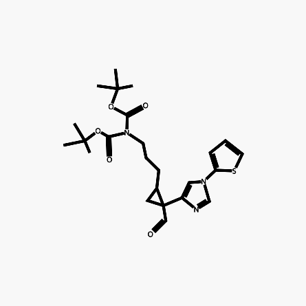 CC(C)(C)OC(=O)N(CCCC1CC1(C=O)c1cn(-c2cccs2)cn1)C(=O)OC(C)(C)C